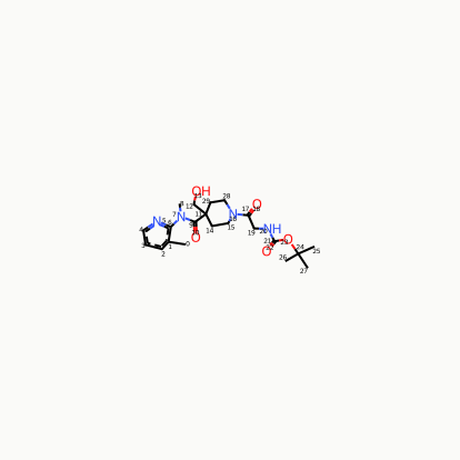 Cc1cccnc1N(C)C(=O)C1(CO)CCN(C(=O)CNC(=O)OC(C)(C)C)CC1